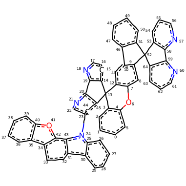 c1ccc2c(c1)Oc1cc3c(cc1C21c2cccnc2-c2ncc(-n4c5ccccc5c5ccc6c7ccccc7oc6c54)cc21)-c1ccccc1C31c2cccnc2-c2ncccc21